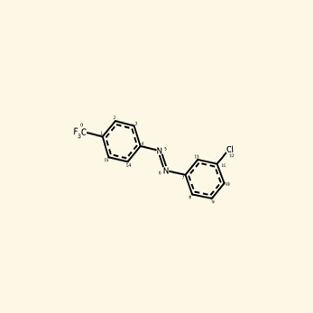 FC(F)(F)c1ccc(N=Nc2cccc(Cl)c2)cc1